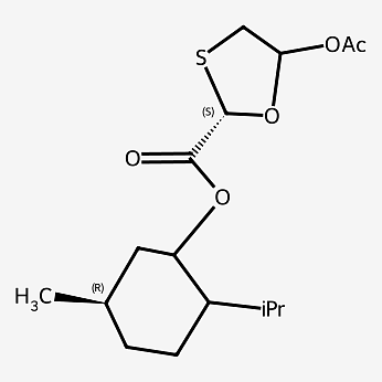 CC(=O)OC1CS[C@@H](C(=O)OC2C[C@H](C)CCC2C(C)C)O1